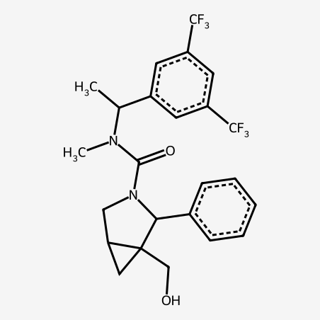 CC(c1cc(C(F)(F)F)cc(C(F)(F)F)c1)N(C)C(=O)N1CC2CC2(CO)C1c1ccccc1